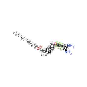 CCCCCCCCCCCCCCCCCCOC(=O)CC[C@@H](C)[C@H]1CC[C@H]2[C@@H]3CCC4CC(OC(F)(F)C(F)(F)C(F)(F)C(F)(F)c5cc(N)cc(N)c5)CC[C@]4(C)[C@H]3CC[C@]12C